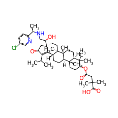 CC(C)C1=C2[C@H]3CC[C@@H]4[C@@]5(C)CC[C@H](OC(=O)CC(C)(C)C(=O)O)C(C)(C)[C@@H]5CC[C@@]4(C)[C@]3(C)CC[C@@]2([C@H](O)CN[C@H](C)c2ccc(Cl)cn2)CC1=O